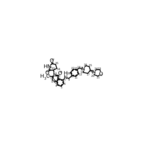 Cc1nc2cccc(NCc3ccc(CN4CCC(N5CCOCC5)CC4)cc3)c2c(=O)n1C1CCC(=O)NC1=O